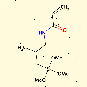 C=CC(=O)NCC(C)C[Si](OC)(OC)OC